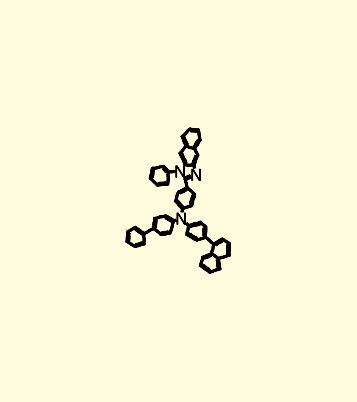 c1ccc(-c2ccc(N(c3ccc(-c4cccc5ccccc45)cc3)c3ccc(-c4nc5cc6ccccc6cc5n4-c4ccccc4)cc3)cc2)cc1